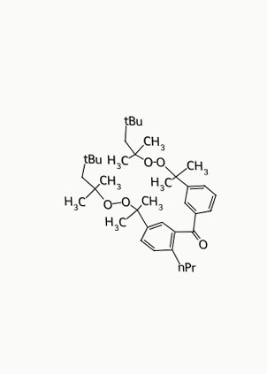 CCCc1ccc(C(C)(C)OOC(C)(C)CC(C)(C)C)cc1C(=O)c1cccc(C(C)(C)OOC(C)(C)CC(C)(C)C)c1